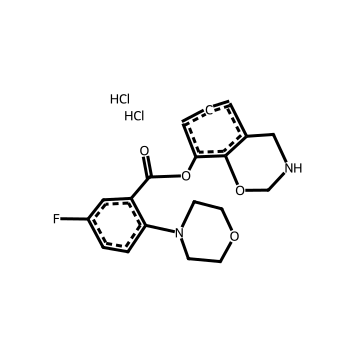 Cl.Cl.O=C(Oc1cccc2c1OCNC2)c1cc(F)ccc1N1CCOCC1